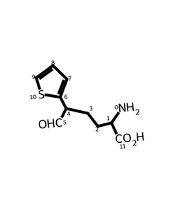 NC(CCC(C=O)c1cccs1)C(=O)O